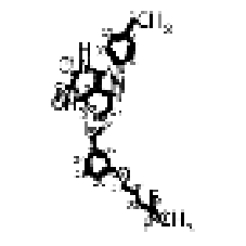 CCc1ccc(-n2nc3c(c2NC(=O)CSC)C(=O)N[C@@H](CCc2cccc(OCCCC(C)(F)F)c2)C3)cc1